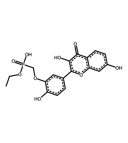 CCOP(=O)(O)COc1cc(-c2oc3cc(O)ccc3c(=O)c2O)ccc1O